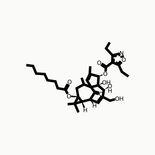 CCCCCCCC(=O)O[C@@]12CC(C)C34C=C(C)[C@H](OC(=O)c5c(CC)noc5CC)[C@@]3(O)[C@H](O)C(CO)=C[C@H](C4=O)[C@@H]1C2(C)C